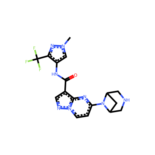 Cn1cc(NC(=O)c2cnn3ccc(N4C5CNCC4C5)nc23)c(C(F)(F)F)n1